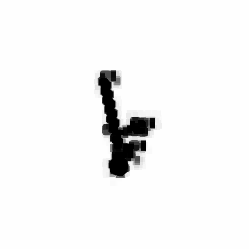 CCCCCCCCCCCC(=O)NCCC[N+](C)(CCO)Cc1ccccc1.O=P([O-])(O)O